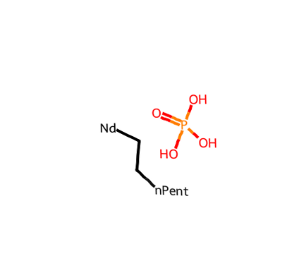 CCCCCC[CH2][Nd].O=P(O)(O)O